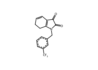 O=C1C(=O)N(Cc2cccc(C(F)(F)F)c2)C2=C1C=CCC2